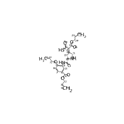 C=CCOC(=O)c1ccc(OCC=C)c(NC(=O)[C@@H]2C[C@@H](C(C(=O)S)C(=O)OCC=C)CN2)c1